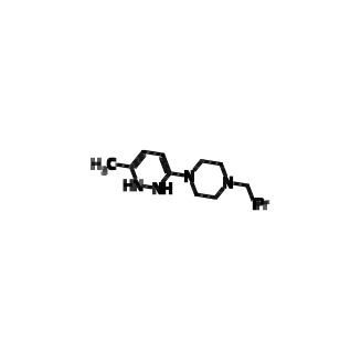 CC1=CC=C(N2CCN(CC(C)C)CC2)NN1